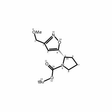 COCc1cc([C@@H]2CCCN2C(=O)OC(C)(C)C)on1